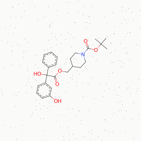 CC(C)(C)OC(=O)N1CCC(COC(=O)C(O)(c2ccccc2)c2cccc(O)c2)CC1